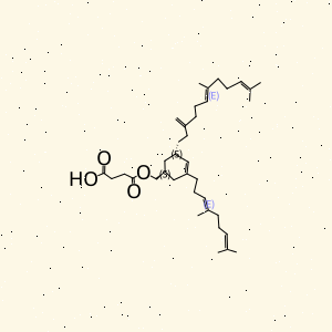 C=C(CC/C=C(\C)CCC=C(C)C)CC[C@@H]1C=C(CC/C=C(\C)CCC=C(C)C)C[C@@H](COC(=O)CCC(=O)O)C1